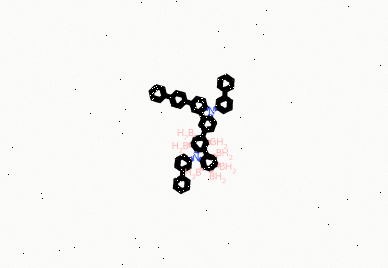 Bc1c(B)c(B)c2c(c1B)c1c(B)c(-c3ccc4c(c3)c3cc(-c5ccc(-c6ccccc6)cc5)ccc3n4-c3cccc(-c4ccccc4)c3)c(B)c(B)c1n2-c1cccc(-c2ccccc2)c1